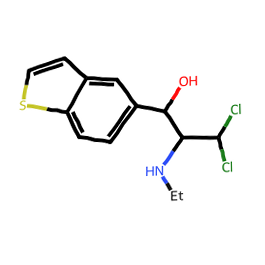 CCNC(C(Cl)Cl)C(O)c1ccc2sccc2c1